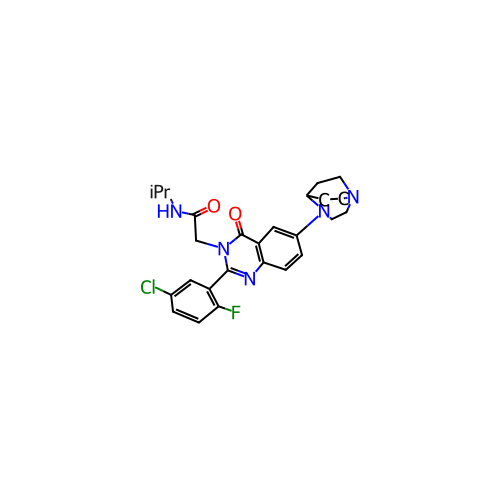 CC(C)NC(=O)Cn1c(-c2cc(Cl)ccc2F)nc2ccc(N3CCN4CCC3CC4)cc2c1=O